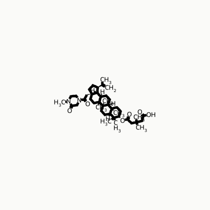 C=C(C)[C@@H]1CC[C@]2(CC(=O)N3CCN(C)C(=O)C3)CC[C@]3(C)[C@H](CC[C@@H]4[C@@]5(C)CC[C@H](OC(=O)CC(C)(C)CC(=O)O)C(C)(C)[C@@H]5CC[C@]43C)[C@@H]12